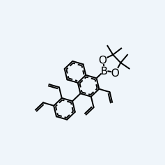 C=Cc1cccc(-c2c(C=C)c(C=C)c(B3OC(C)(C)C(C)(C)O3)c3ccccc23)c1C=C